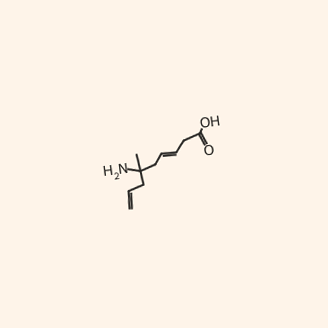 C=CCC(C)(N)C/C=C/CC(=O)O